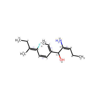 C\C=C(/C=C\C(F)=C(/C)CC)C(O)/C(N)=C\CC